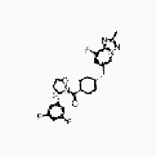 Cc1nc2c(F)cc(C[C@H]3CC[C@H](C(=O)N4OCC[C@H]4c4cc(F)cc(F)c4)CC3)cn2n1